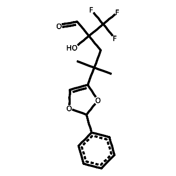 CC(C)(CC(O)(C=O)C(F)(F)F)C1=COC(c2ccccc2)O1